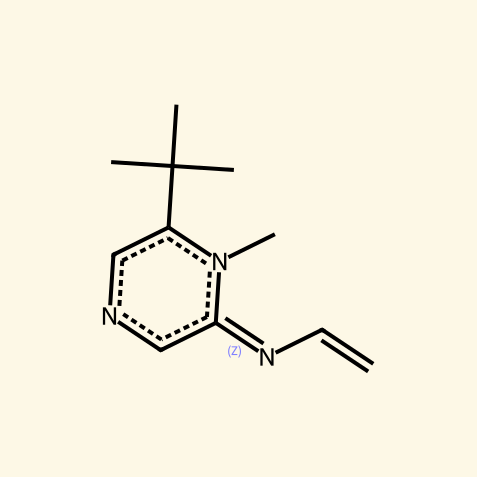 C=C/N=c1/cncc(C(C)(C)C)n1C